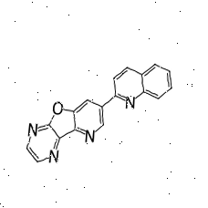 c1ccc2nc(-c3cnc4c(c3)oc3nccnc34)ccc2c1